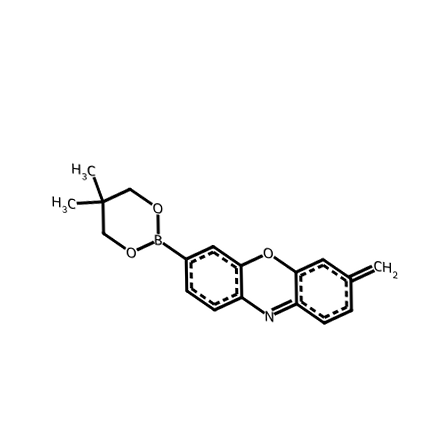 C=c1ccc2c(c1)Oc1cc(B3OCC(C)(C)CO3)ccc1N=2